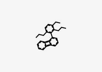 CCCc1ccc(CC)c(CCC)c1-c1cccc2c1=c1ccccc1=2